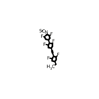 CCc1cc(F)c(C#Cc2cc(F)c(-c3cc(F)c(N=C=S)c(F)c3)c(F)c2)c(F)c1